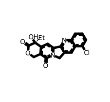 CC[C@@]1(O)C(=O)OCc2c1cc1n(c2=O)Cc2cc3c(Cl)cccc3nc2-1